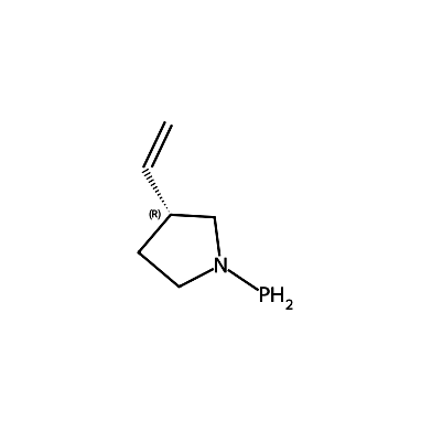 C=C[C@H]1CCN(P)C1